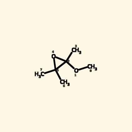 COC1(C)OC1(C)C